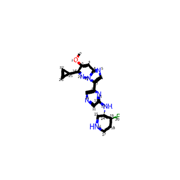 COc1cc2ncc(-c3cncc(N[C@H]4CNCC[C@@H]4F)n3)n2nc1C1CC1